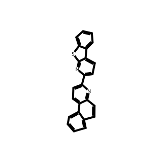 c1ccc2c(c1)ccc1nc(-c3ccc4c(n3)sc3ccccc34)ccc12